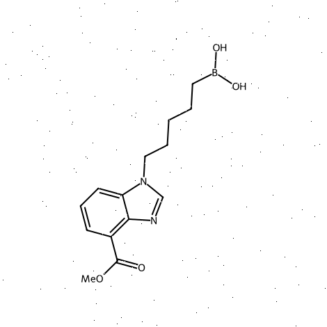 COC(=O)c1cccc2c1ncn2CCCCCB(O)O